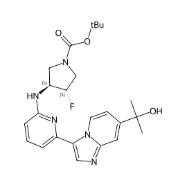 CC(C)(C)OC(=O)N1C[C@H](Nc2cccc(-c3cnc4cc(C(C)(C)O)ccn34)n2)[C@@H](F)C1